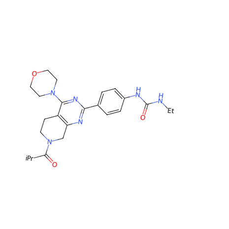 CCNC(=O)Nc1ccc(-c2nc3c(c(N4CCOCC4)n2)CCN(C(=O)C(C)C)C3)cc1